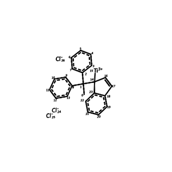 CC(c1ccccc1)(c1ccccc1)[C]1([Ti+3])C=Cc2ccccc21.[Cl-].[Cl-].[Cl-]